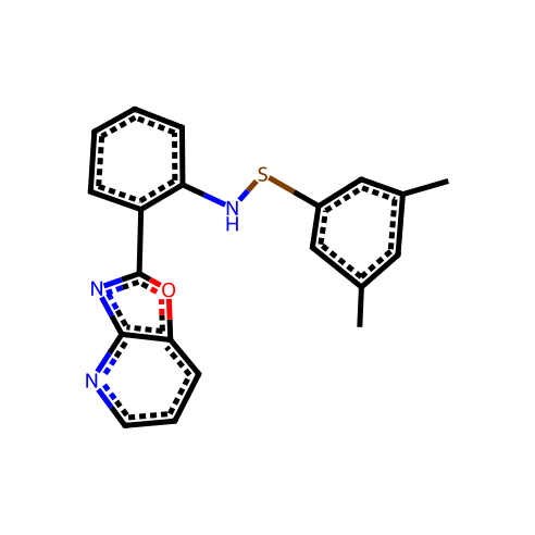 Cc1cc(C)cc(SNc2ccccc2-c2nc3ncccc3o2)c1